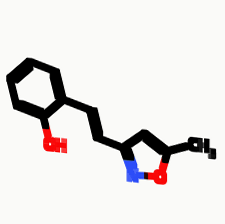 Cc1cc(/C=C/c2ccccc2O)no1